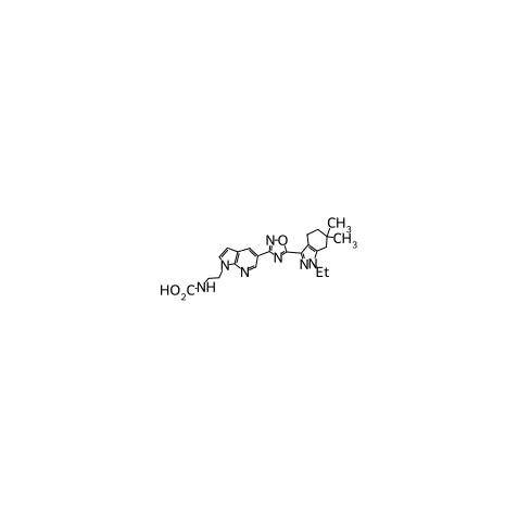 CCn1nc(-c2nc(-c3cnc4c(ccn4CCNC(=O)O)c3)no2)c2c1CC(C)(C)CC2